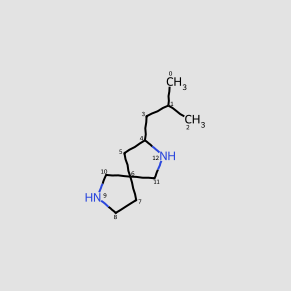 CC(C)CC1CC2(CCNC2)CN1